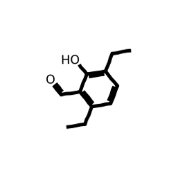 CCc1ccc(CC)c(C=O)c1O